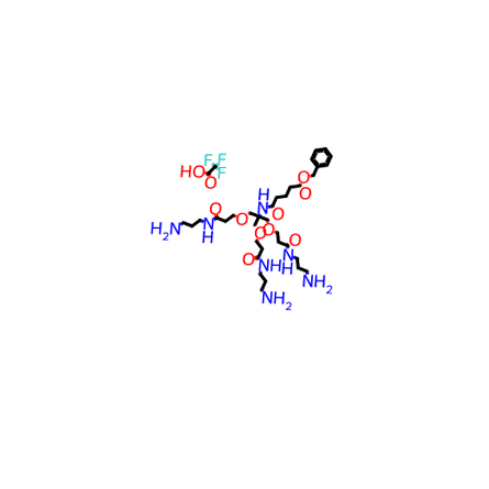 NCCCNC(=O)CCOCC(COCCC(=O)NCCCN)(COCCC(=O)NCCCN)NC(=O)CCCC(=O)OCc1ccccc1.O=C(O)C(F)(F)F